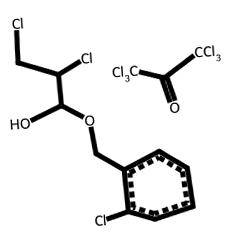 O=C(C(Cl)(Cl)Cl)C(Cl)(Cl)Cl.OC(OCc1ccccc1Cl)C(Cl)CCl